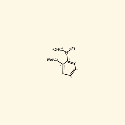 CCN([C]=O)c1ccccc1OC